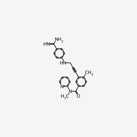 Cc1ccc(C(=O)N(C)c2ccccn2)cc1C#CCNc1ccc(C(=N)N)cc1